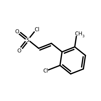 Cc1cccc(Cl)c1/C=C/S(=O)(=O)Cl